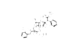 CC(=O)OC(Cc1ccccc1)C1(C(=O)O)CS[C@@H]2C(NC(=O)C(C(=O)OC(C)(C)C)c3ccccc3)C(=O)N2C1